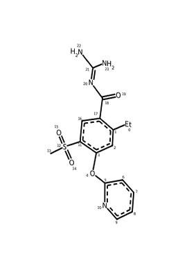 CCc1cc(Oc2ccccn2)c(S(C)(=O)=O)cc1C(=O)N=C(N)N